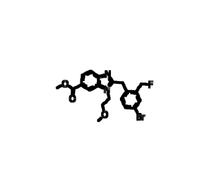 COCCn1c(Cc2ccc(Br)cc2CF)nc2ccc(C(=O)OC)cc21